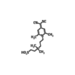 [C-]#[N+]C([N+]#[C-])=C1C=C(C)N(CCC[N+](C)(C)CCS(=O)(=O)O)C(C)=C1